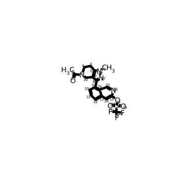 CC(=O)N1CCc2c(c(-c3cccc4cc(OS(=O)(=O)C(F)(F)F)ncc34)nn2C)C1